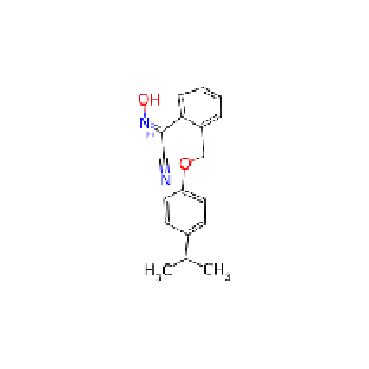 CC(C)c1ccc(OCc2ccccc2/C(C#N)=N\O)cc1